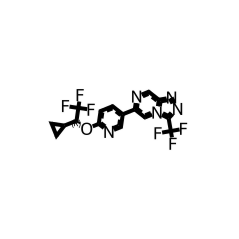 FC(F)(F)c1nnc2cnc(-c3ccc(O[C@H](C4CC4)C(F)(F)F)nc3)cn12